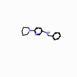 c1ccc(CNc2ccc(N3CCCCC3)nc2)cc1